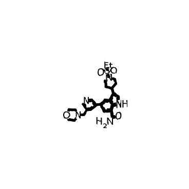 CCS(=O)(=O)N1CCC(c2c[nH]c3c(C(N)=O)cc(-c4cncc(CN5CCOCC5)c4)cc23)CC1